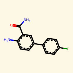 NC(=O)c1cc(-c2ccc(F)cc2)ccc1N